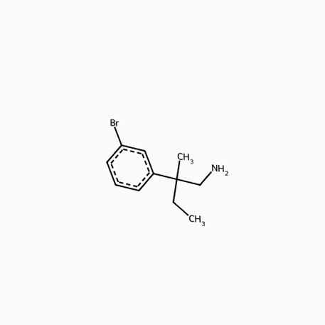 CCC(C)(CN)c1cccc(Br)c1